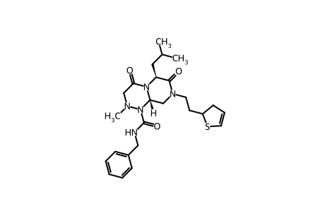 CC(C)C[C@H]1C(=O)N(CCC2CC=CS2)C[C@H]2N1C(=O)CN(C)N2C(=O)NCc1ccccc1